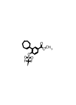 COC(=O)c1ccc(OS(=O)(=O)C(F)(F)F)c(C2=CCCCCC2)c1